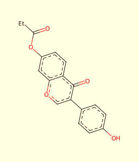 CCC(=O)Oc1ccc2c(=O)c(-c3ccc(O)cc3)coc2c1